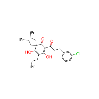 CC(C)CCC1=C(O)C(CCC(C)C)(CCC(C)C)C(=O)C(C(=O)CCc2cccc(Cl)c2)=C1O